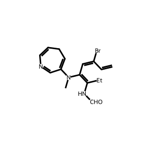 C=C/C(Br)=C\C(=C(/CC)NC=O)N(C)C1=CCC=CN=C1